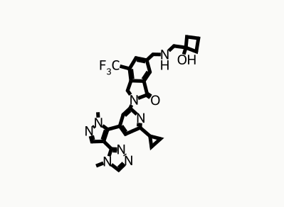 Cn1cnnc1-c1cnn(C)c1-c1cc(C2CC2)nc(N2Cc3c(cc(CNCC4(O)CCC4)cc3C(F)(F)F)C2=O)c1